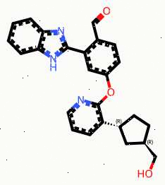 O=Cc1ccc(Oc2ncccc2[C@@H]2CC[C@@H](CO)C2)cc1-c1nc2ccccc2[nH]1